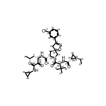 CCC[C@H](NC(=O)[C@@H]1C[C@]2(CC(c3cccc(Cl)c3)=NO2)CN1C(=O)[C@@H](NC(=O)[C@@H]1C[C@H]1CC)C(C)(C)C)C(=O)C(=O)NC1CC1